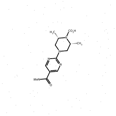 CNC(=O)c1cnc(N2C[C@@H](C)N(C(=O)O)[C@@H](C)C2)nc1